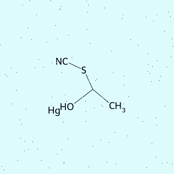 CC(O)SC#N.[Hg]